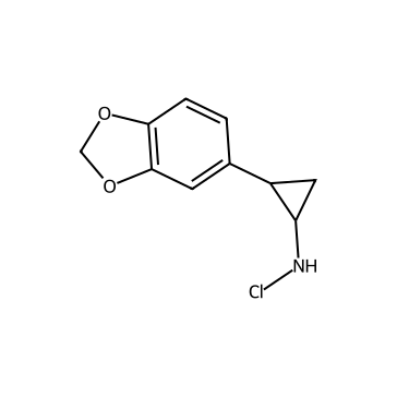 ClNC1CC1c1ccc2c(c1)OCO2